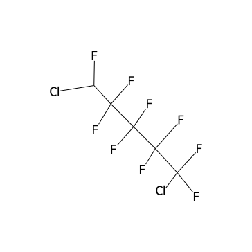 FC(Cl)C(F)(F)C(F)(F)C(F)(F)C(F)(F)Cl